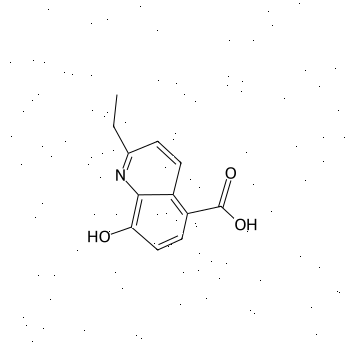 CCc1ccc2c(C(=O)O)ccc(O)c2n1